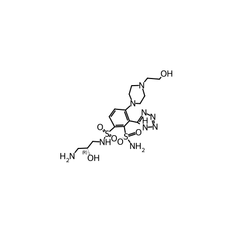 NC[C@@H](O)CNS(=O)(=O)c1ccc(N2CCN(CCO)CC2)c(-c2nnn[nH]2)c1S(N)(=O)=O